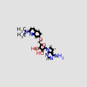 CN(C)c1ccc2ccc(OC[C@H]3O[C@@H](n4ccc5c(N)ncnc54)[C@H](O)[C@@H]3O)cc2n1